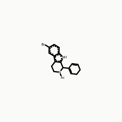 CC(=O)N1CCc2c([nH]c3ccc(Br)cc23)C1C1=CCCC=C1